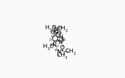 C=CC(=O)N(C)CCN(C)c1ccc(S(=O)(=O)N(C)C)c2nsnc12